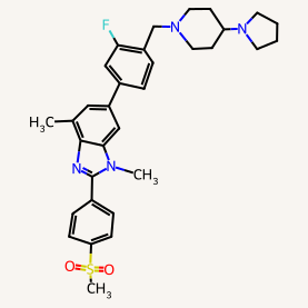 Cc1cc(-c2ccc(CN3CCC(N4CCCC4)CC3)c(F)c2)cc2c1nc(-c1ccc(S(C)(=O)=O)cc1)n2C